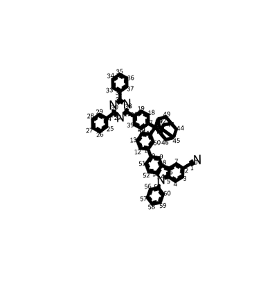 N#Cc1ccc2c(c1)c1cc(-c3cccc(C4(c5ccc(-c6nc(-c7ccccc7)nc(-c7ccccc7)n6)cc5)C5CC6CC(C5)CC4C6)c3)ccc1n2-c1ccccc1